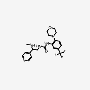 CNC(CNC(=O)Nc1cc(C(F)(F)F)ccc1N1CCOCC1)c1ccncc1